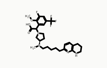 COc1c(F)cc(C(F)(F)F)cc1C(C(=O)O)N1CC[C@@H](N(C)CCCCCc2ccc3c(n2)NCCC3)C1